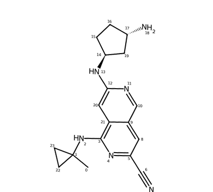 CC1(Nc2nc(C#N)cc3cnc(N[C@H]4CC[C@H](N)C4)cc23)CC1